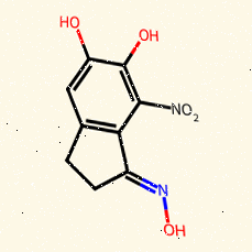 O=[N+]([O-])c1c(O)c(O)cc2c1/C(=N/O)CC2